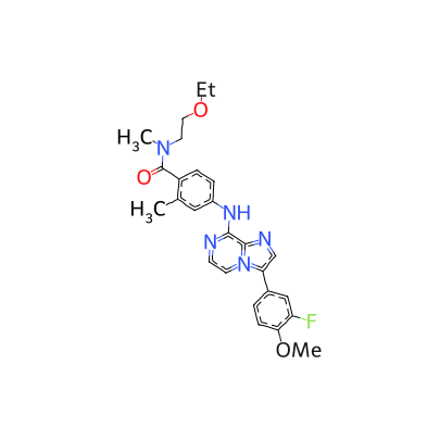 CCOCCN(C)C(=O)c1ccc(Nc2nccn3c(-c4ccc(OC)c(F)c4)cnc23)cc1C